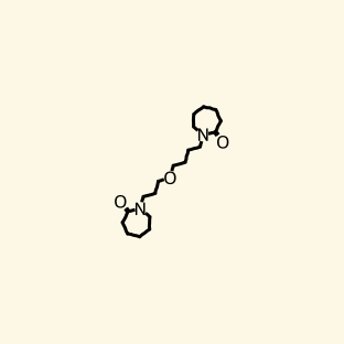 O=C1CCCCCN1CCCCOCCCN1CCCCCC1=O